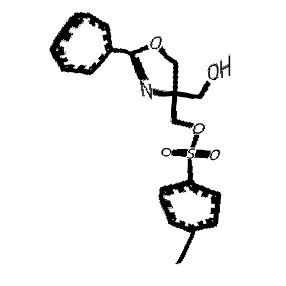 Cc1ccc(S(=O)(=O)OCC2(CO)COC(c3ccccc3)=N2)cc1